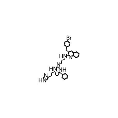 O=C(NC(=NCCCNc1nc2ccccc2cc1Cc1ccc(Br)cc1)NCCCc1c[nH]cn1)c1ccccc1